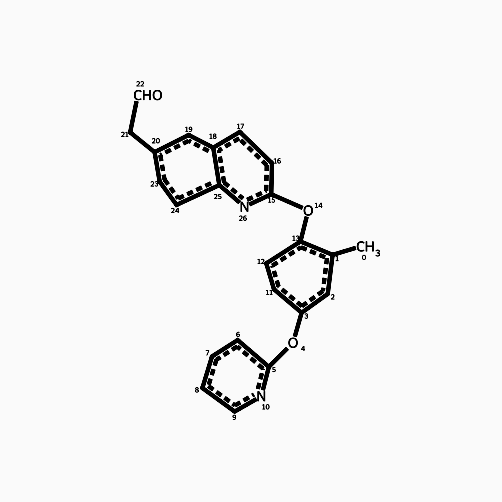 Cc1cc(Oc2ccccn2)ccc1Oc1ccc2cc(CC=O)ccc2n1